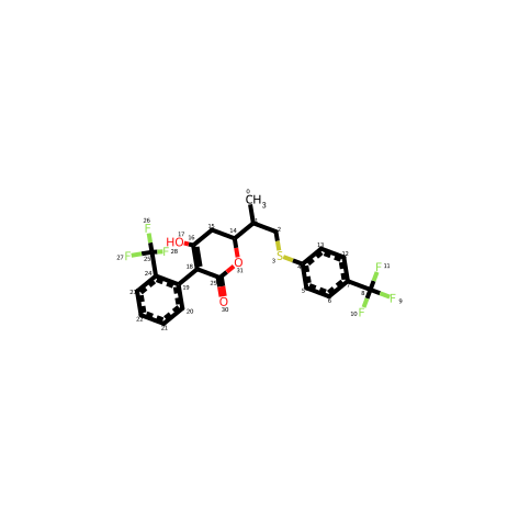 CC(CSc1ccc(C(F)(F)F)cc1)C1CC(O)=C(c2ccccc2C(F)(F)F)C(=O)O1